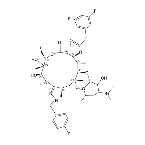 CC[C@H]1OC(=O)[C@H](C)[C@@H](OC(=O)Cc2cc(F)cc(F)c2)[C@H](C)[C@@H](OC2OC(C)CC(N(C)C)C2O)[C@](C)(OC)C[C@@H](C)/C(=N\N=C\c2ccc(F)cc2)[C@H](C)[C@@H](O)[C@]1(C)O